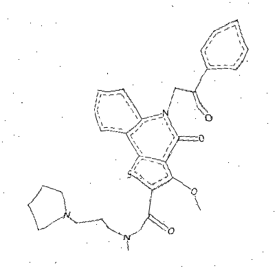 COc1c(C(=O)N(C)CCN2CCCC2)sc2c1c(=O)n(CC(=O)c1ccccc1)c1ccccc21